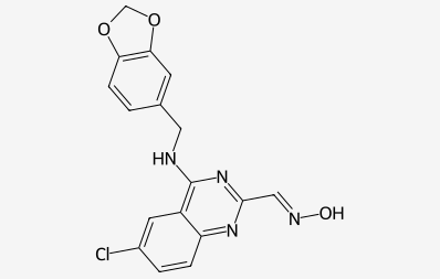 ON=Cc1nc(NCc2ccc3c(c2)OCO3)c2cc(Cl)ccc2n1